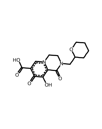 O=C(O)c1cn2c(c(O)c1=O)C(=O)N(CC1CCCCO1)CC2